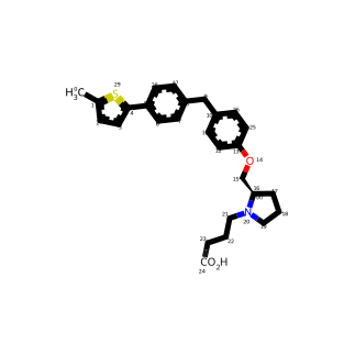 Cc1ccc(-c2ccc(Cc3ccc(OC[C@H]4CCCN4CCCC(=O)O)cc3)cc2)s1